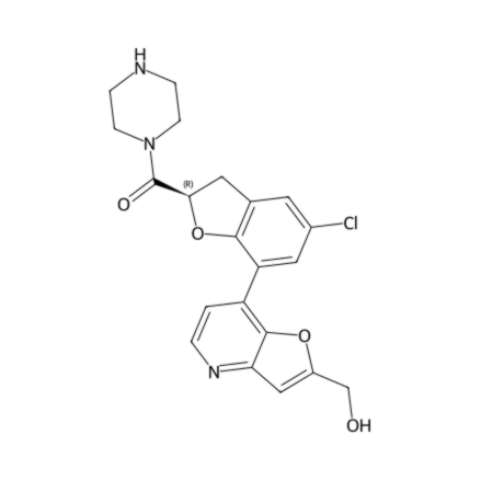 O=C([C@H]1Cc2cc(Cl)cc(-c3ccnc4cc(CO)oc34)c2O1)N1CCNCC1